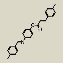 Cc1ccc(/C=C/C(=O)Oc2ccc(/N=C/c3ccc(C)cc3)cc2)cc1